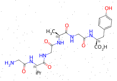 CC(C)[C@H](NC(=O)CN)C(=O)NCC(=O)N[C@@H](C)C(=O)NCC(=O)N[C@@H](Cc1ccc(O)cc1)C(=O)O